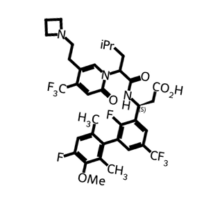 COc1c(F)cc(C)c(-c2cc(C(F)(F)F)cc([C@H](CC(=O)O)NC(=O)C(CC(C)C)n3cc(CCN4CCC4)c(C(F)(F)F)cc3=O)c2F)c1C